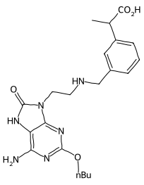 CCCCOc1nc(N)c2[nH]c(=O)n(CCNCc3cccc(C(C)C(=O)O)c3)c2n1